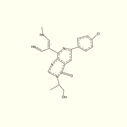 CN/C=C(\C=N)c1nc(-c2ccc(Cl)cc2)cc2c(=O)n(C(C)CO)cnc12